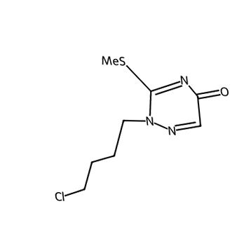 CSc1nc(=O)cnn1CCCCCl